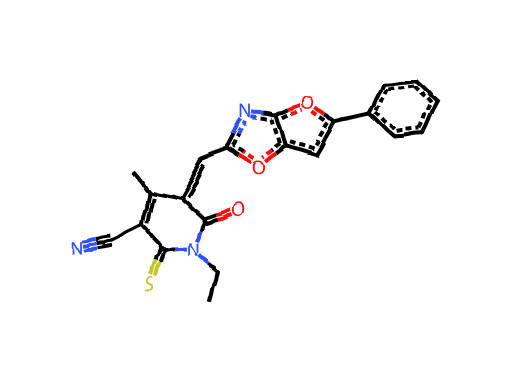 CCN1C(=O)/C(=C\c2nc3oc(-c4ccccc4)cc3o2)C(C)=C(C#N)C1=S